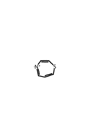 C1=CSC=C[N+]=C1